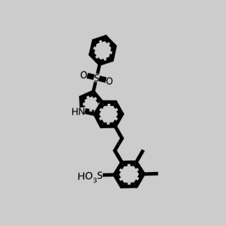 Cc1ccc(S(=O)(=O)O)c(CCc2ccc3c(S(=O)(=O)c4ccccc4)c[nH]c3c2)c1C